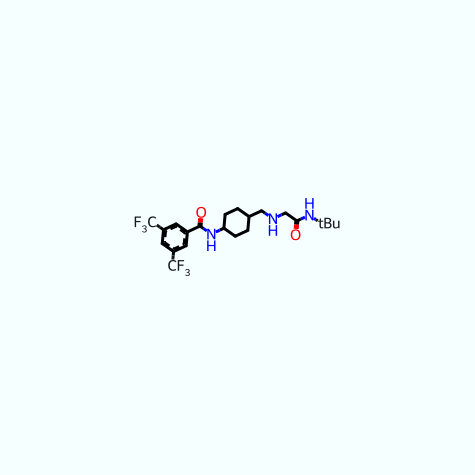 CC(C)(C)NC(=O)CNCC1CCC(NC(=O)c2cc(C(F)(F)F)cc(C(F)(F)F)c2)CC1